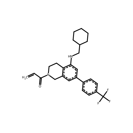 C=CC(=O)N1CCc2c(cc(-c3ccc(C(F)(F)F)cc3)cc2NCC2CCCCC2)C1